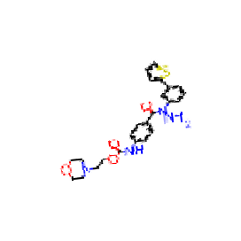 NN(C(=O)c1ccc(NC(=O)OCCN2CCOCC2)cc1)c1cccc(-c2cccs2)c1